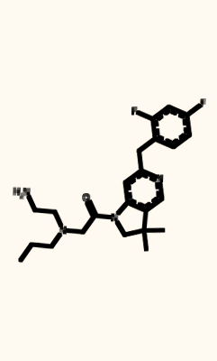 CCCN(CCN)CC(=O)N1CC(C)(C)c2cnc(Cc3ccc(F)cc3F)cc21